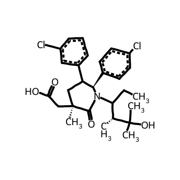 CCC([C@@H](C)C(C)(C)O)N1C(=O)[C@@](C)(CC(=O)O)CC(c2cccc(Cl)c2)[C@H]1c1ccc(Cl)cc1